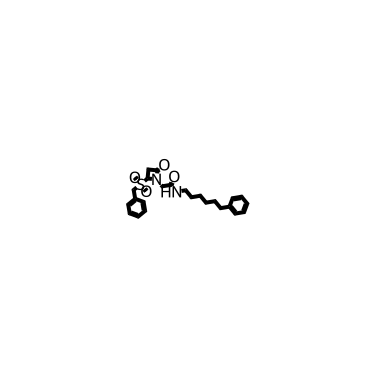 O=C(CN1C(=O)CC1S(=O)(=O)Cc1ccccc1)NCCCCCCc1ccccc1